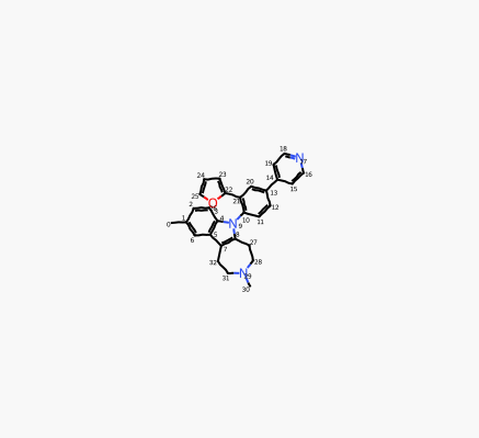 Cc1ccc2c(c1)c1c(n2-c2ccc(-c3ccncc3)cc2-c2ccco2)CCN(C)CC1